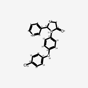 O=C1CSC(c2cccnc2)N1c1ccc(Oc2ccc(Cl)cc2)cc1